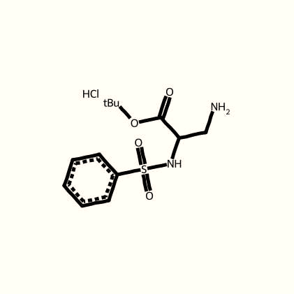 CC(C)(C)OC(=O)C(CN)NS(=O)(=O)c1ccccc1.Cl